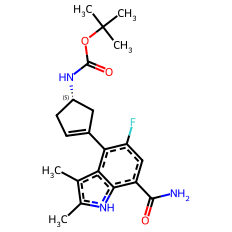 Cc1[nH]c2c(C(N)=O)cc(F)c(C3=CC[C@H](NC(=O)OC(C)(C)C)C3)c2c1C